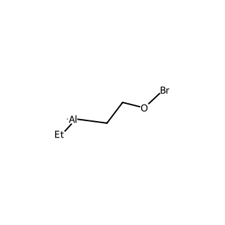 C[CH2][Al][CH2]COBr